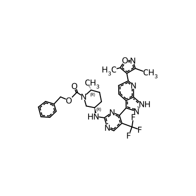 Cc1noc(C)c1-c1ccc2c(-c3nc(N[C@@H]4CC[C@@H](C)N(C(=O)OCc5ccccc5)C4)ncc3C(F)(F)F)n[nH]c2n1